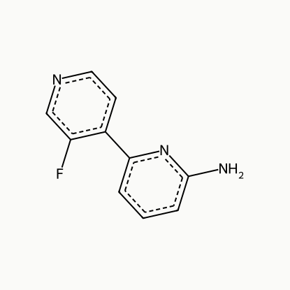 Nc1cccc(-c2ccncc2F)n1